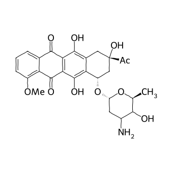 COc1cccc2c1C(=O)c1c(O)c3c(c(O)c1C2=O)C[C@@](O)(C(C)=O)C[C@@H]3O[C@H]1CC(N)C(O)[C@H](C)O1